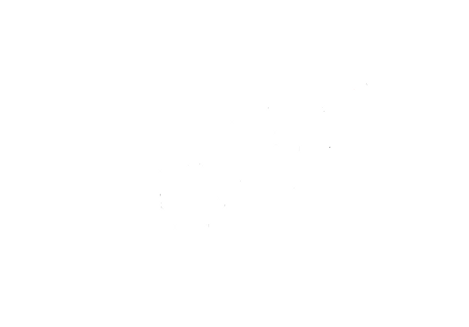 CC1CC2=CC(=O)CC[C@]2(C=O)C2CC[C@]3(C)C(=O)CCC3C12